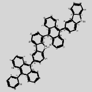 c1ccc(-c2c3ccccc3c(-c3ccc4oc5c(-c6c7ccccc7c(-c7ccc8sc9ccccc9c8c7)c7ccccc67)cccc5c4c3)c3ccccc23)cc1